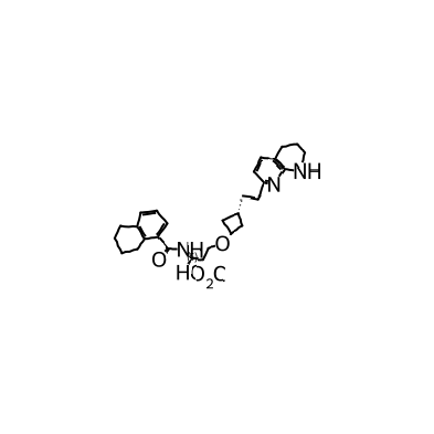 O=C(N[C@@H](CCO[C@H]1C[C@@H](CCc2ccc3c(n2)NCCC3)C1)C(=O)O)c1cccc2c1CCCC2